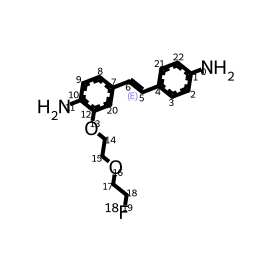 Nc1ccc(/C=C/c2ccc(N)c(OCCOCC[18F])c2)cc1